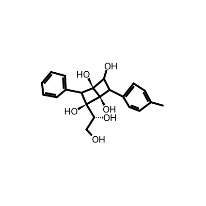 Cc1ccc(C2C(O)[C@@]3(O)C(c4ccccc4)[C@@](O)([C@H](O)CO)[C@@]23O)cc1